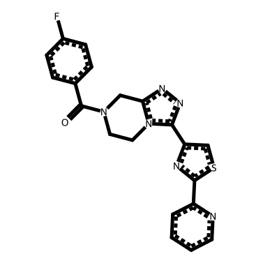 O=C(c1ccc(F)cc1)N1CCn2c(nnc2-c2csc(-c3ccccn3)n2)C1